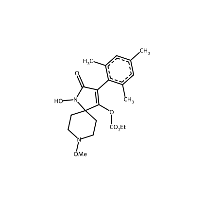 CCOC(=O)OC1=C(c2c(C)cc(C)cc2C)C(=O)N(O)C12CCN(OC)CC2